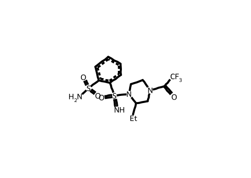 CCC1CN(C(=O)C(F)(F)F)CCN1S(=N)(=O)c1ccccc1S(N)(=O)=O